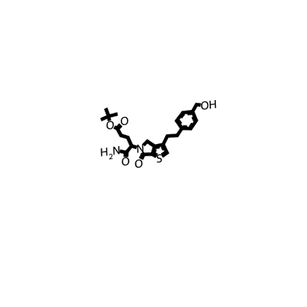 CC(C)(C)OC(=O)CCC(C(N)=O)N1Cc2c(CCc3ccc(CO)cc3)csc2C1=O